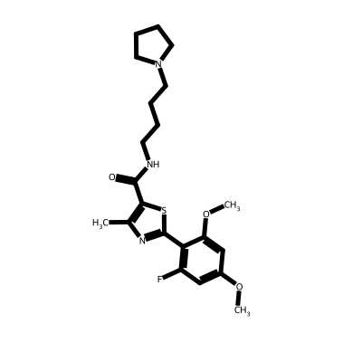 COc1cc(F)c(-c2nc(C)c(C(=O)NCCCCN3CCCC3)s2)c(OC)c1